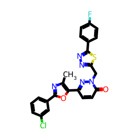 Cc1nc(-c2cccc(Cl)c2)oc1-c1ccc(=O)n(Cc2nnc(-c3ccc(F)cc3)s2)n1